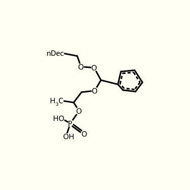 CCCCCCCCCCCOOC(OCC(C)OP(=O)(O)O)c1ccccc1